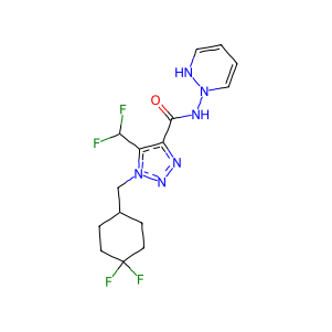 O=C(NN1C=CC=CN1)c1nnn(CC2CCC(F)(F)CC2)c1C(F)F